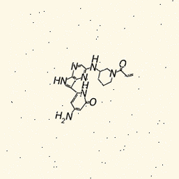 C=CC(=O)N1CCCC(Nc2cnc3[nH]cc(-c4cc(N)cc(=O)[nH]4)c3n2)C1